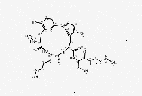 CNCCC[C@@H]1NC(=O)[C@@H](NC)Cc2cc(ccc2O)-c2ccc(O)c(c2)C[C@@H](C(=O)NC(CO)C(=O)NCCNC)NC1=O